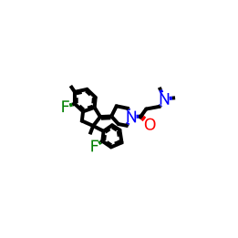 Cc1ccc2c(c1F)CC(C)(c1ccccc1F)C2=C1CCN(C(=O)CCN(C)C)CC1